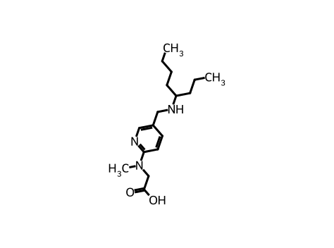 CCCCC(CCC)NCc1ccc(N(C)CC(=O)O)nc1